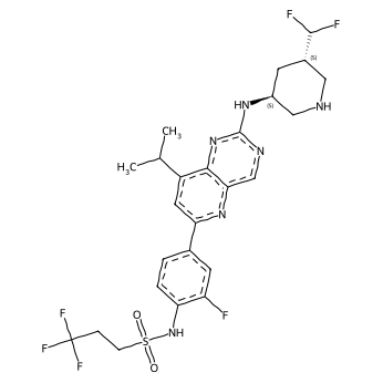 CC(C)c1cc(-c2ccc(NS(=O)(=O)CCC(F)(F)F)c(F)c2)nc2cnc(N[C@@H]3CNC[C@@H](C(F)F)C3)nc12